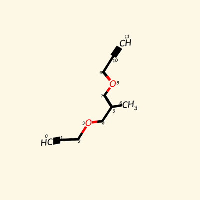 C#CCOCC(C)COCC#C